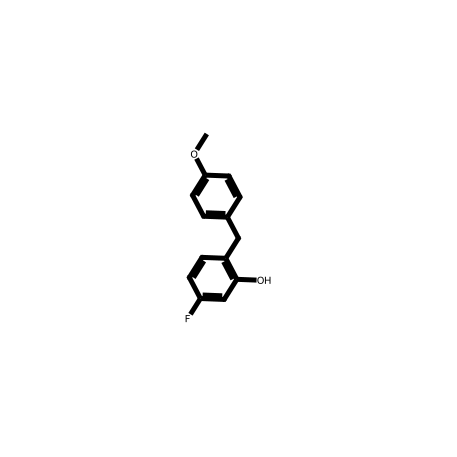 COc1ccc(Cc2ccc(F)cc2O)cc1